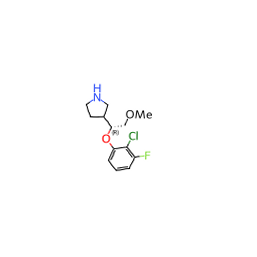 COC[C@H](Oc1cccc(F)c1Cl)C1CCNC1